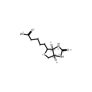 CC(C)C(=O)CCCCC1SC[C@H]2NC(=O)N[C@@H]12